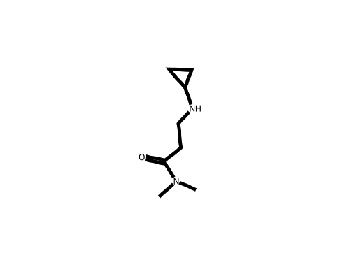 CN(C)C(=O)CCNC1CC1